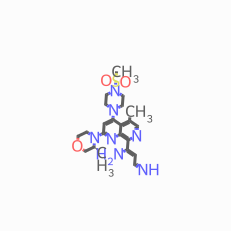 Cc1cnc(/C(N)=C/C=N)c2nc(N3CCOC[C@H]3C)cc(N3CCN(S(C)(=O)=O)CC3)c12